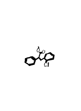 COC(=O)C(Cc1ccccc1Cl)c1ccccc1